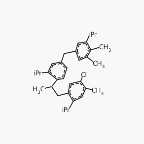 Cc1cc(C(C)C)c(CC(C)c2ccc(Cc3cc(C)c(C)c(C(C)C)c3)cc2C(C)C)cc1Cl